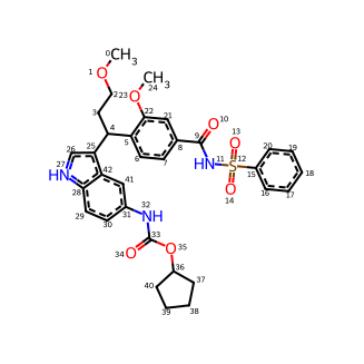 COCCC(c1ccc(C(=O)NS(=O)(=O)c2ccccc2)cc1OC)c1c[nH]c2ccc(NC(=O)OC3CCCC3)cc12